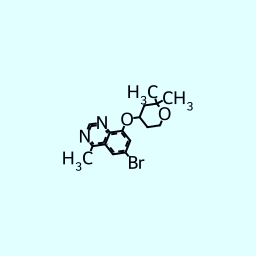 Cc1ncnc2c(OC3CCOC(C)(C)C3)cc(Br)cc12